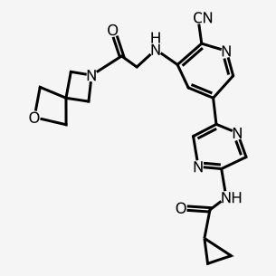 N#Cc1ncc(-c2cnc(NC(=O)C3CC3)cn2)cc1NCC(=O)N1CC2(COC2)C1